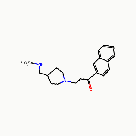 CCOC(=O)NCC1CCN(CCC(=O)c2ccc3ccccc3c2)CC1